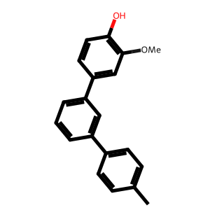 COc1cc(-c2cccc(-c3ccc(C)cc3)c2)ccc1O